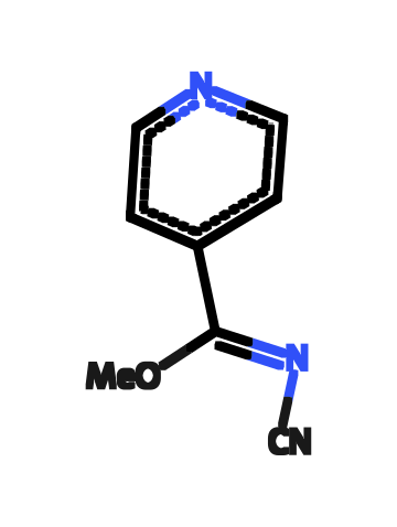 COC(=NC#N)c1ccncc1